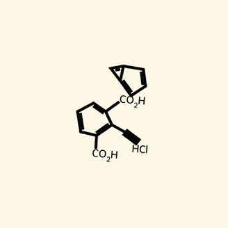 C#Cc1c(C(=O)O)cccc1C(=O)O.Cl.c1cc2cc-2c1